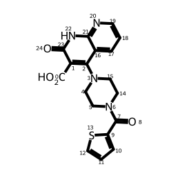 O=C(O)c1c(N2CCN(C(=O)c3cccs3)CC2)c2cccnc2[nH]c1=O